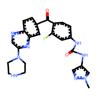 Cn1cc(NC(=O)Nc2ccc(C(=O)c3ccc4ncc(N5CCNCC5)nc4c3)c(F)c2)cn1